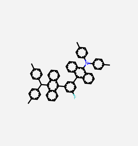 Cc1ccc(C(c2ccc(C)cc2)c2c3ccccc3c(-c3cc(F)cc(-c4c5ccccc5c(N(c5ccc(C)cc5)c5ccc(C)cc5)c5ccccc45)c3)c3ccccc23)cc1